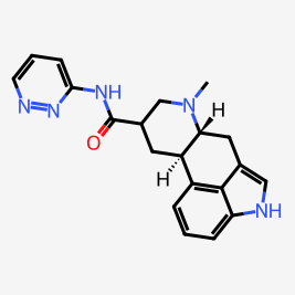 CN1CC(C(=O)Nc2cccnn2)C[C@@H]2c3cccc4[nH]cc(c34)C[C@H]21